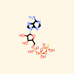 Nc1ncnc2c1ncn2[C@@H]1OC(CO[P@](=O)(O)O[P@](=O)(O)OP(O)(O)=S)[C@@H](O)C1O